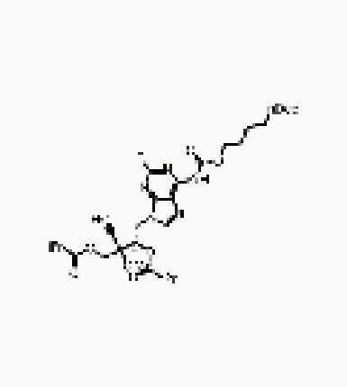 C#CC(COC(=O)C(C)C)(OC)[C@H](Cn1cnc2c(NC(=O)OCCCCCCCCCCCCCC)nc(F)nc21)OC(=O)C(C)C